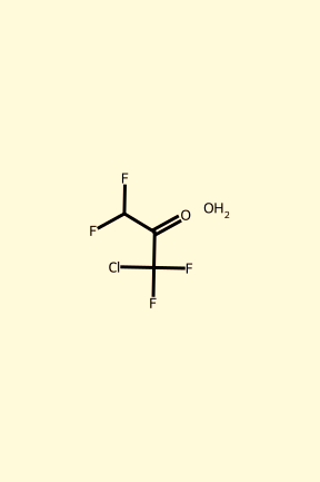 O.O=C(C(F)F)C(F)(F)Cl